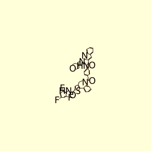 O=C(Nc1c(F)cc(F)cc1F)c1cc2c(s1)-c1ccccc1N(C(=O)c1ccc(NC(=O)c3cc4ccccc4nc3N3CC4(CCOCC4)C3)cc1)CC2